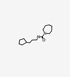 O=C([N]CCCC1CCCC1)N1CCCCCC1